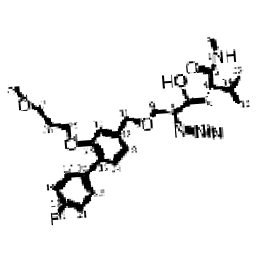 CNC(=O)[C@@H](C[C@H](O)[C@H](COCc1ccc(-c2ccc(F)cc2)c(OCCCOC)c1)N=[N+]=[N-])C(C)C